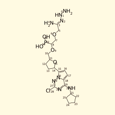 NN/N=C(\N)COCC(OCC1CCC(c2ccc3c(NC4CCCC4)nc(Cl)nn23)O1)P(O)O